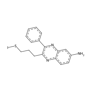 Nc1ccc2nc(CCCSI)c(-c3ccccc3)nc2c1